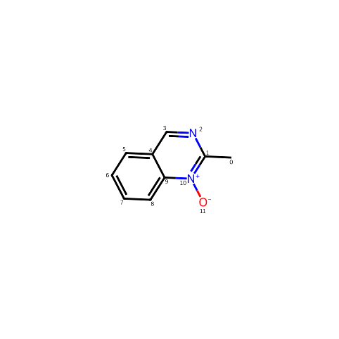 Cc1ncc2ccccc2[n+]1[O-]